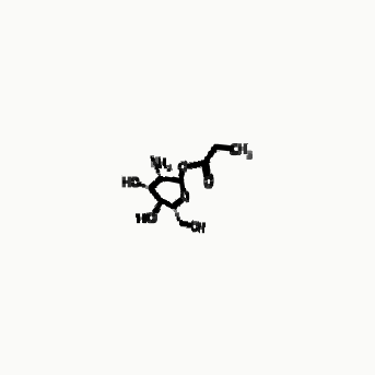 CCC(=O)OC1O[C@H](CO)[C@@H](O)[C@H](O)[C@@H]1N